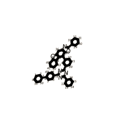 c1ccc(-c2ccc(-c3nc(-c4ccccc4)nc(-c4cccc(-c5c6oc(-c7ccccc7)nc6cc6oc7ccccc7c56)c4)n3)cc2)cc1